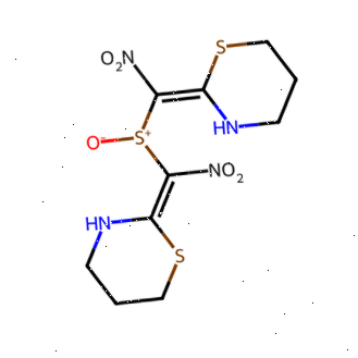 O=[N+]([O-])C(=C1NCCCS1)[S+]([O-])C(=C1NCCCS1)[N+](=O)[O-]